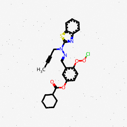 CC#CCN(/N=C/c1cc(OC(=O)C2CCCCC2)ccc1OOCl)c1nc2ccccc2s1